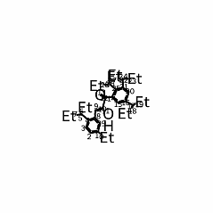 CCc1ccc(C(CC)CC)c(C=C(O)C(=O)c2cc(C(CC)CC)cc(C(CC)CC)c2C(CC)CC)c1